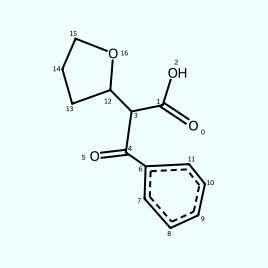 O=C(O)C(C(=O)c1ccccc1)C1CCCO1